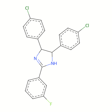 Fc1cccc(C2=NC(c3ccc(Cl)cc3)C(c3ccc(Cl)cc3)N2)c1